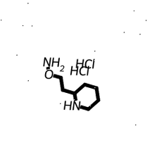 Cl.Cl.NOCCC1CCCCN1